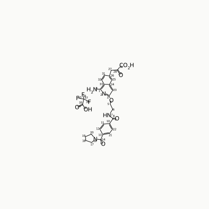 Nc1nc(OCCNC(=O)c2ccc(C(=O)N3CCCC3)cc2)cc2cc(CC(=O)C(=O)O)ccc12.O=C(O)C(F)(F)F